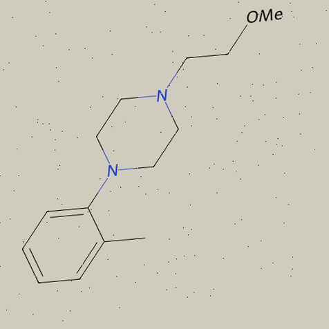 COCCN1CCN(c2ccccc2C)CC1